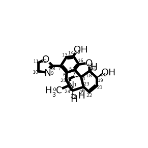 CN1CC[C@]23c4c5c(C6=NCCO6)cc(O)c4O[C@H]2[C@@H](O)C=C[C@H]3[C@H]1C5